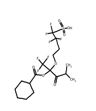 CC(C)C(=O)C(OCCC(F)(F)C(F)(F)S(=O)(=O)O)(OC(=O)C1CCCCC1)C(F)(F)F